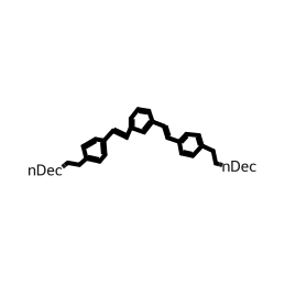 CCCCCCCCCCCCc1ccc(C=Cc2cccc(C=Cc3ccc(CCCCCCCCCCCC)cc3)c2)cc1